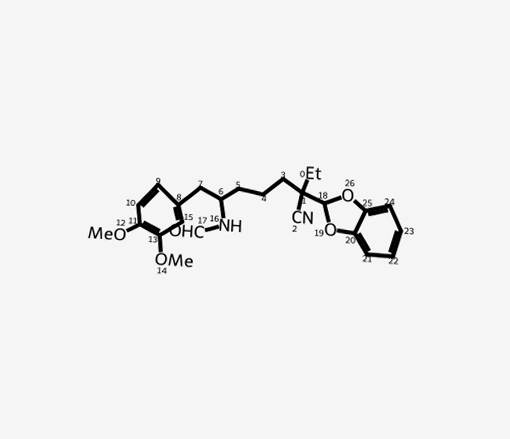 CCC(C#N)(CCCC(Cc1ccc(OC)c(OC)c1)NC=O)C1Oc2ccccc2O1